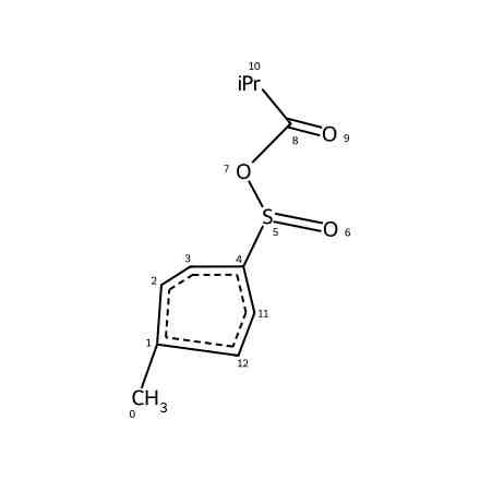 Cc1ccc(S(=O)OC(=O)C(C)C)cc1